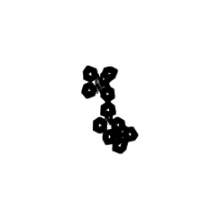 c1ccc(N(c2ccc(-c3ccc4c5c6ccccc6n(-c6ccccc6)c5n(-c5ccccc5)c4c3)cc2)c2ccc3c(c2)C(c2ccccc2)(c2ccccc2)c2ccccc2-3)cc1